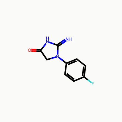 N=C1NC(=O)CN1c1ccc(F)cc1